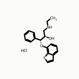 CCNC[C@@H](O)[C@H](Oc1cccc2ccsc12)c1ccccc1.Cl